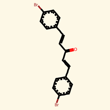 O=C(C=Cc1ccc(Br)cc1)C=Cc1ccc(Br)cc1